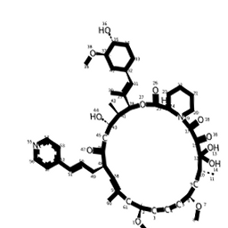 CO[C@@H]1CCC[C@@H](OC)C[C@@H](C)C(O)(O)C(=O)C(=O)N2CCCC[C@H]2C(=O)O[C@H](/C(C)=C/[C@@H]2CC[C@@H](O)[C@H](OC)C2)[C@H](C)[C@@H](O)CC(=O)[C@H](C/C=C/c2ccncc2)/C=C(\C)C1